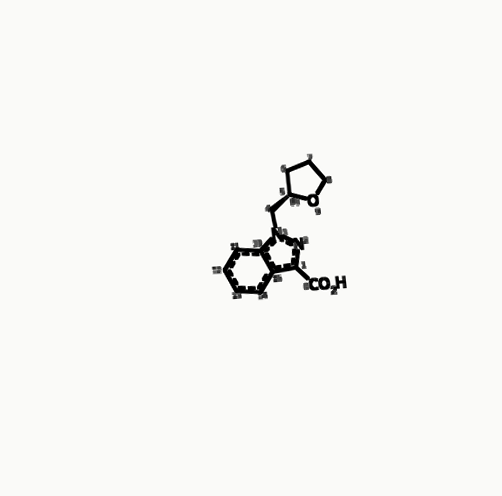 O=C(O)c1nn(C[C@H]2CCCO2)c2ccccc12